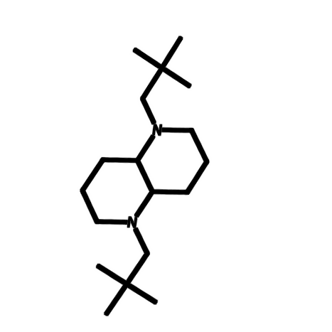 CC(C)(C)CN1CCCC2C1CCCN2CC(C)(C)C